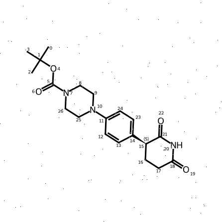 CC(C)(C)OC(=O)N1CCN(c2ccc([C@@H]3CCC(=O)NC3=O)cc2)CC1